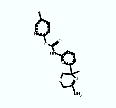 CC1(c2cccc(NC(=O)Oc3ccc(Br)cn3)n2)COCC(N)=N1